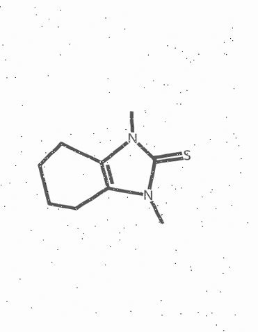 Cn1c2c(n(C)c1=S)CCCC2